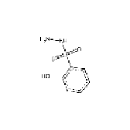 Cl.NNS(=O)(=O)c1ccccc1